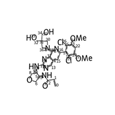 C=CC(=O)N[C@H]1COC[C@H]1Nc1ncc2cc(-c3c(Cl)c(OC)cc(OC)c3Cl)nc(N3CC(CO)(CO)C3)c2n1